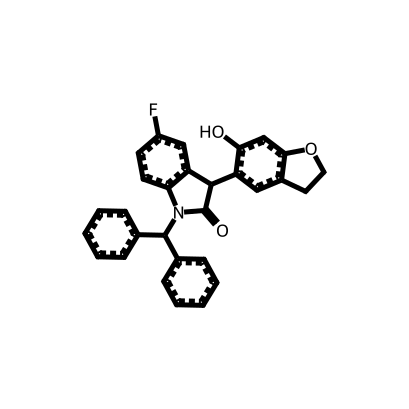 O=C1C(c2cc3c(cc2O)OCC3)c2cc(F)ccc2N1C(c1ccccc1)c1ccccc1